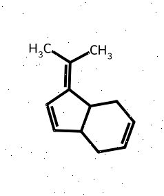 CC(C)=C1C=CC2CC=CCC12